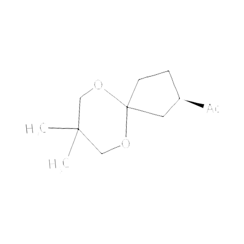 CC(=O)[C@@H]1CCC2(C1)OCC(C)(C)CO2